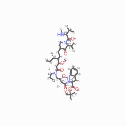 CCC(CCC(C(CC(=O)N1[C@@H](C)CC[C@H]1[C@H](OC)[C@@H](C)C(=O)NC(Cc1ccccc1)C(=O)OC(C)(C)C)OC)[C@@H](C)CC)C(=O)[C@@H](NC(=O)[C@@H](NC)C(C)C)C(C)C